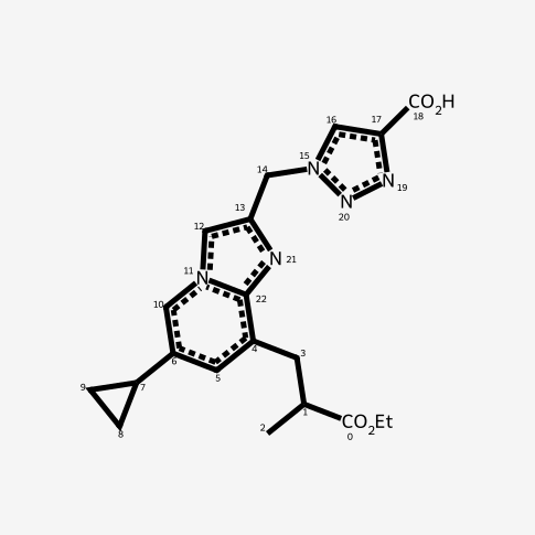 CCOC(=O)C(C)Cc1cc(C2CC2)cn2cc(Cn3cc(C(=O)O)nn3)nc12